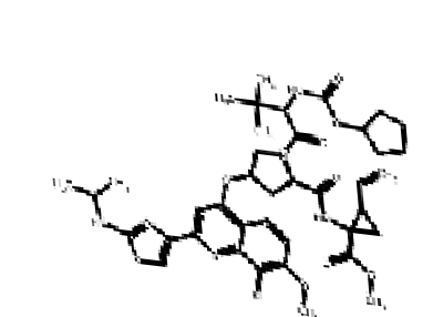 C=CC1CC1(NC(=O)C1CC(Oc2cc(-c3csc(NC(C)C)n3)nc3c(Cl)c(OC)ccc23)CN1C(=O)C(NC(=O)OC1CCCC1)C(C)(C)C)C(=O)OC